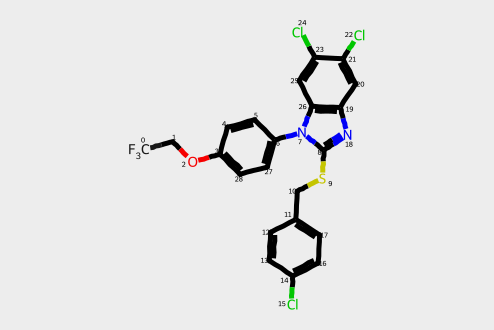 FC(F)(F)COc1ccc(-n2c(SCc3ccc(Cl)cc3)nc3cc(Cl)c(Cl)cc32)cc1